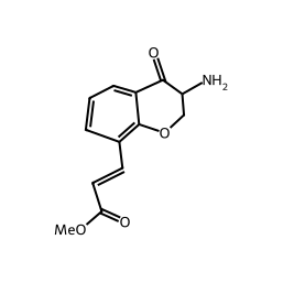 COC(=O)C=Cc1cccc2c1OCC(N)C2=O